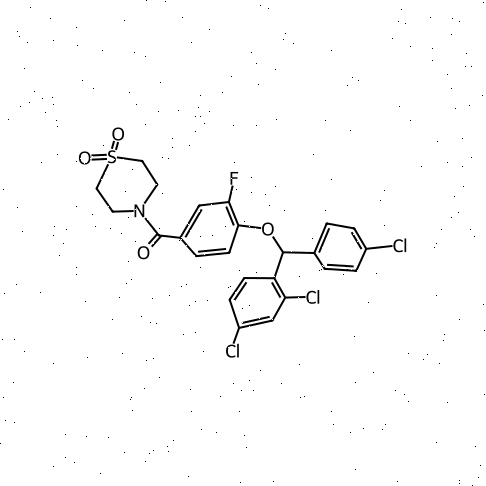 O=C(c1ccc(OC(c2ccc(Cl)cc2)c2ccc(Cl)cc2Cl)c(F)c1)N1CCS(=O)(=O)CC1